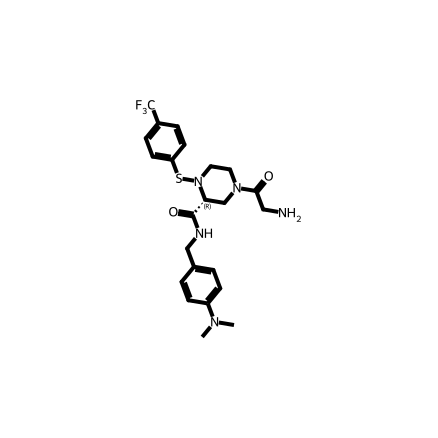 CN(C)c1ccc(CNC(=O)[C@H]2CN(C(=O)CN)CCN2Sc2ccc(C(F)(F)F)cc2)cc1